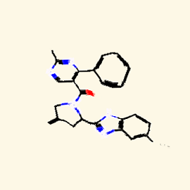 C=C1CC(c2nc3cc(OC)ccc3[nH]2)N(C(=O)c2cnc(C)nc2-c2ccccc2)C1